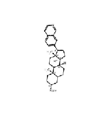 CN[C@H]1CC[C@@]2(C)C(CC[C@@H]3C2CC[C@]2(C)[C@@H](c4ccc5ccncc5c4)CC[C@@H]32)C1